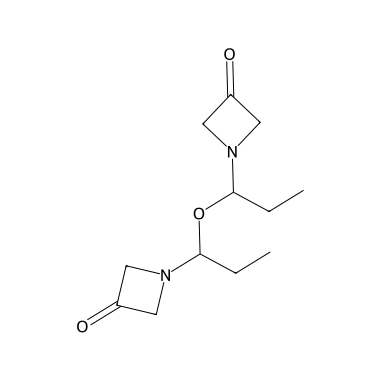 CCC(OC(CC)N1CC(=O)C1)N1CC(=O)C1